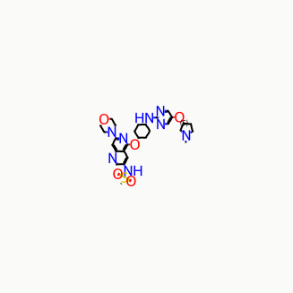 CN1CC[C@H](Oc2cnc(N[C@H]3CC[C@@H](Oc4nc(N5CCOCC5)cc5ncc(NS(C)(=O)=O)cc45)CC3)nc2)C1